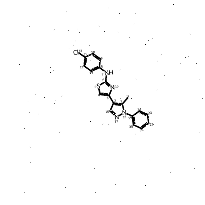 Cc1c(-c2csc(Nc3ccc(Cl)cc3)n2)cnn1-c1ccccc1